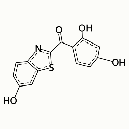 O=C(c1nc2ccc(O)cc2s1)c1ccc(O)cc1O